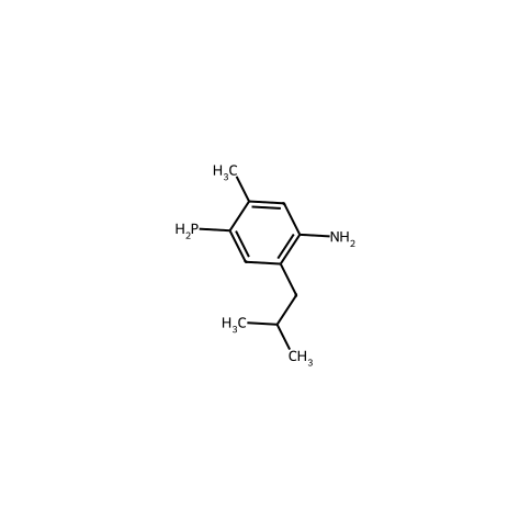 Cc1cc(N)c(CC(C)C)cc1P